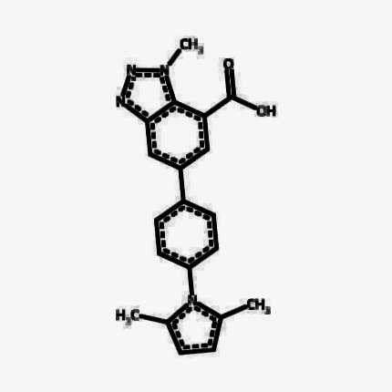 Cc1ccc(C)n1-c1ccc(-c2cc(C(=O)O)c3c(c2)nnn3C)cc1